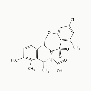 Cc1ccc(F)c(C(C)[C@@H](C(=O)O)N2CCOc3cc(Cl)cc(C)c3S2(=O)=O)c1C